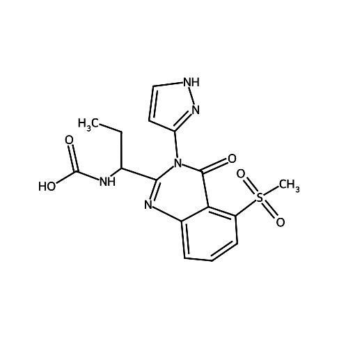 CCC(NC(=O)O)c1nc2cccc(S(C)(=O)=O)c2c(=O)n1-c1cc[nH]n1